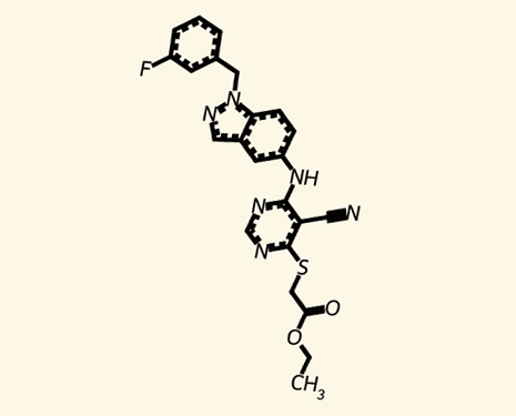 CCOC(=O)CSc1ncnc(Nc2ccc3c(cnn3Cc3cccc(F)c3)c2)c1C#N